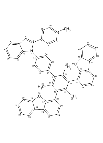 Cc1ccc(-c2cc3ccccc3n2-c2ccc(-c3c(C)c(-c4cccc5c4oc4ccccc45)c(C)c(-c4cccc5c4oc4ccccc45)c3C)cc2)cc1